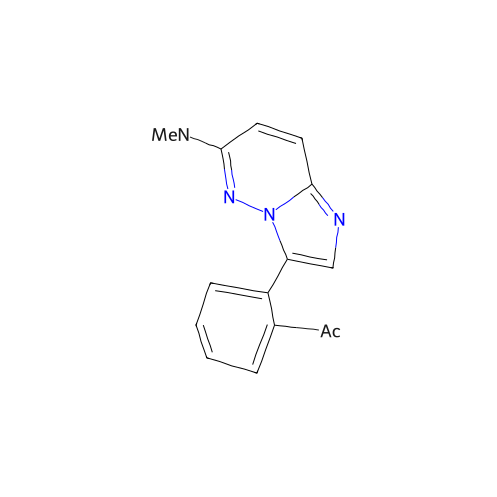 CNc1ccc2ncc(-c3ccccc3C(C)=O)n2n1